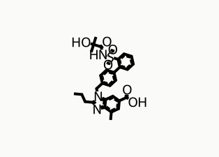 CCCc1nc2c(C)cc(C(=O)O)cc2n1Cc1ccc(-c2ccccc2S(=O)(=O)NC(=O)C(C)(C)O)cc1